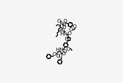 CCCCCC(C(=O)NCNC(=O)c1ccc(-c2ccc(C(=O)NC(CC(=O)OCc3ccccc3)C(=O)OCc3ccccc3)c(OCC)c2)o1)[C@@H](CC)N(C=O)OC(=O)c1ccc2c(c1)OCCO2